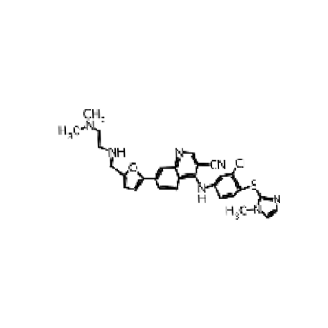 CN(C)CCNCc1ccc(-c2ccc3c(Nc4ccc(Sc5nccn5C)c(Cl)c4)c(C#N)cnc3c2)o1